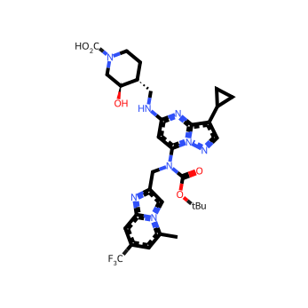 Cc1cc(C(F)(F)F)cc2nc(CN(C(=O)OC(C)(C)C)c3cc(NC[C@H]4CCN(C(=O)O)C[C@@H]4O)nc4c(C5CC5)cnn34)cn12